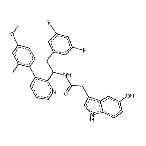 COc1ccc(-c2cccnc2C(Cc2cc(F)cc(F)c2)NC(=O)Cc2c[nH]c3ccc(O)cc23)c(C)c1